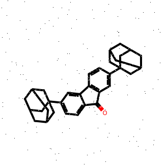 O=C1c2cc(C34CC5CC(CC(C5)C3)C4)ccc2-c2cc(C34CC5CC(CC(C5)C3)C4)ccc21